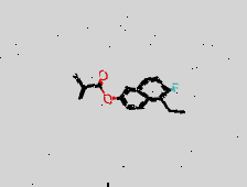 CCc1c(F)ccc2cc(OC(=O)C(C)C)ccc12